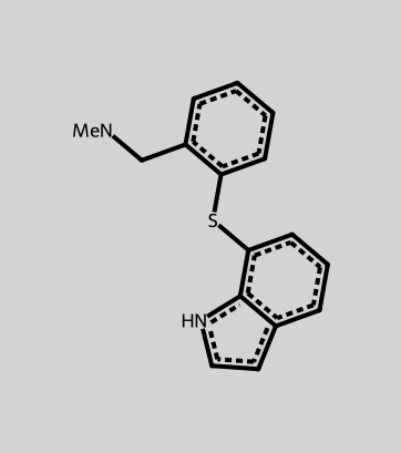 CNCc1ccccc1Sc1cccc2cc[nH]c12